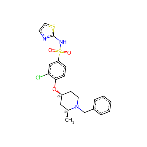 C[C@H]1C[C@@H](Oc2ccc(S(=O)(=O)Nc3nccs3)cc2Cl)CCN1Cc1ccccc1